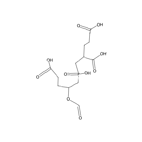 O=COC(CCC(=O)O)CP(=O)(O)CC(CCC(=O)O)C(=O)O